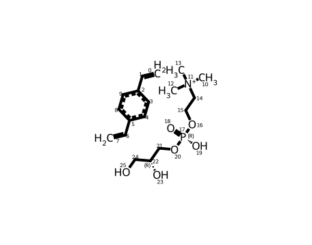 C=Cc1ccc(C=C)cc1.C[N+](C)(C)CCO[P@@](=O)(O)OC[C@H](O)CO